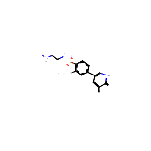 C=C1C(C)=CC(c2ccc(S(=O)(=O)NCCN(C)C)c(OC)c2)=CN1C